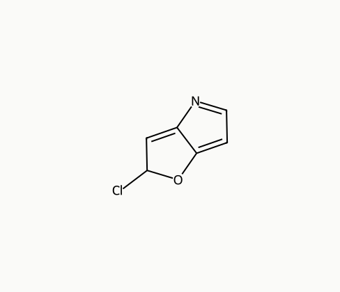 ClC1C=C2N=CC=C2O1